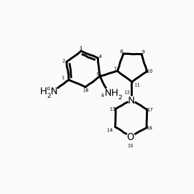 NC1=CC=CC(N)(C2CCCC2N2CCOCC2)C1